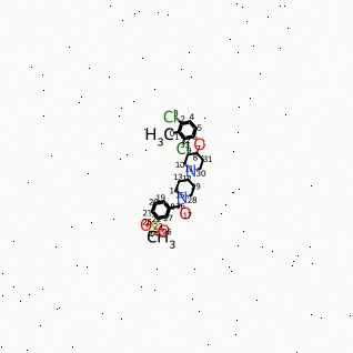 Cc1c(Cl)ccc(OC2CCN(C3CCN(C(=O)c4cccc(S(C)(=O)=O)c4)CC3)CC2)c1Cl